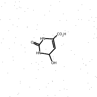 O=C1NC(C(=O)O)=CC(O)N1